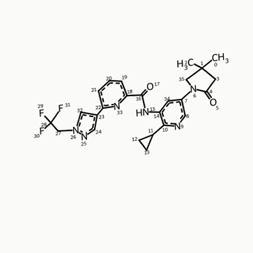 CC1(C)CC(=O)N(c2cnc(C3CC3)c(NC(=O)c3cccc(-c4cnn(CC(F)(F)F)c4)n3)c2)C1